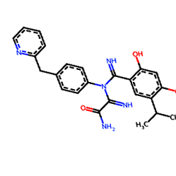 CC(C)c1cc(C(=N)N(C(=N)C(N)=O)c2ccc(Cc3ccccn3)cc2)c(O)cc1O